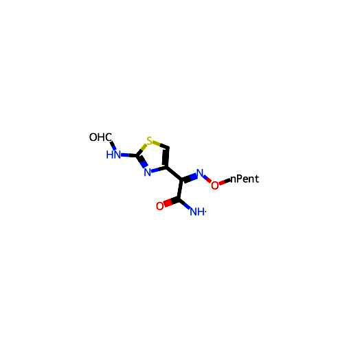 CCCCCON=C(C([NH])=O)c1csc(NC=O)n1